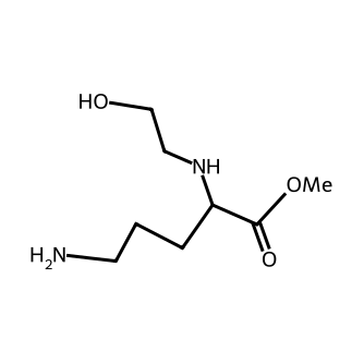 COC(=O)C(CCCN)NCCO